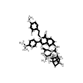 COc1ccc(CCn2c(-c3ccc(N(C)C)nc3)cc3cc(N/C(=N/C4C[C@@H]5C[C@H]([C@@H]4C)C5(C)C)N4CC(=O)N[C@@H](C)C4)ccc3c2=O)c(F)c1